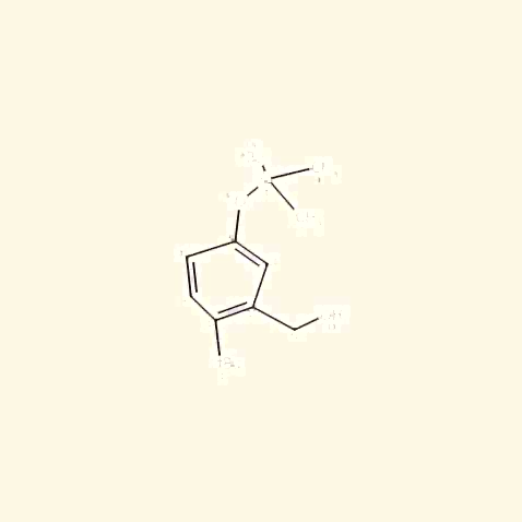 CC(C)(C)c1ccc(O[Si](C)(C)C(C)(C)C)cc1CO